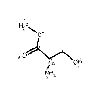 N[C@@H](CO)C(=O)OP